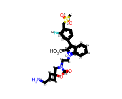 CS(=O)(=O)Cc1ccc(-c2c(C(=O)O)n(CCN3CC4(CC(CN)C4)OC3=O)c3ccccc23)cc1F